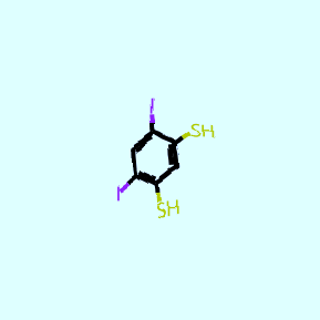 Sc1cc(S)c(I)cc1I